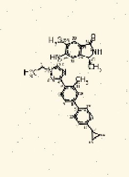 CCn1nc(-c2ccc(-c3ccc(C4CC4)nc3)cc2C)nc1Nc1cc2c(cc1C)C(=O)N[C@H]2C